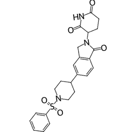 O=C1CCC(N2Cc3cc(C4CCN(S(=O)(=O)c5ccccc5)CC4)ccc3C2=O)C(=O)N1